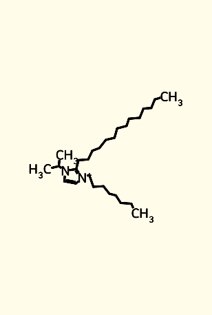 CCCCCCCCCCCCCCc1n(C(C)C)cc[n+]1CCCCCCCC